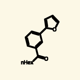 CCCCCCC(=O)c1cccc(-c2ccco2)c1